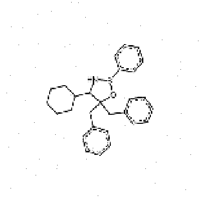 c1ccc(CC2(Cc3ccccc3)OB(c3ccccc3)NC2C2CCCCC2)cc1